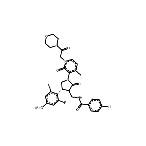 COc1cc(F)c([C@@H]2CN(c3c(C)ccn(CC(=O)N4CCOCC4)c3=O)C(=O)C2CNC(=O)c2ccc(Cl)cc2)c(F)c1